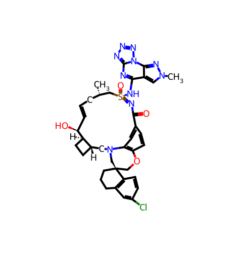 C[C@H]1C/C=C/[C@H](O)[C@@H]2CC[C@H]2CN2C[C@@]3(CCCc4cc(Cl)ccc43)COc3ccc(cc32)C(=O)N=[S@](=O)(Nc2nc3nnnn3c3nn(C)cc23)C1